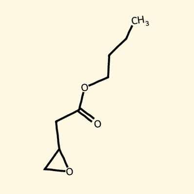 CCCCOC(=O)CC1CO1